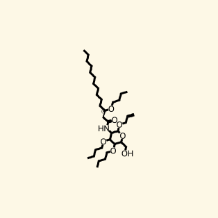 C=CCOC1OC(CO)C(OCCCC)C(OCCCC)C1NC(=O)C[C@@H](CCCCCCCCCCC)OCCCC